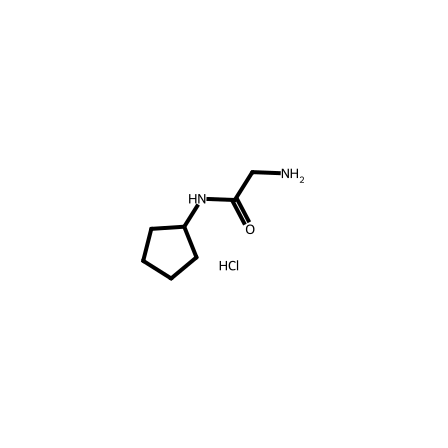 Cl.NCC(=O)NC1CCCC1